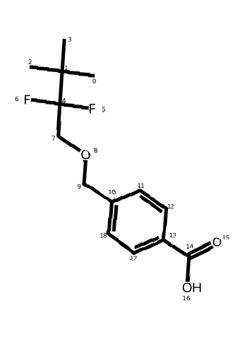 CC(C)(C)C(F)(F)COCc1ccc(C(=O)O)cc1